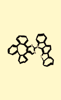 c1ccc2c(c1)-c1ccccc1-c1cnc(-n3c4ccccc4c4ccc5c6ccccc6sc5c43)nc1-c1ccccc1-2